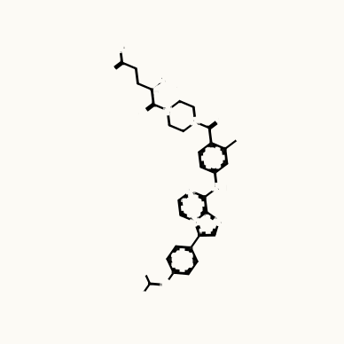 Cc1cc(Nc2nccn3c(-c4ccc(OC(F)F)cc4)cnc23)ccc1C(=O)N1CCN(C(=O)[C@H](N)CCC(=O)O)CC1